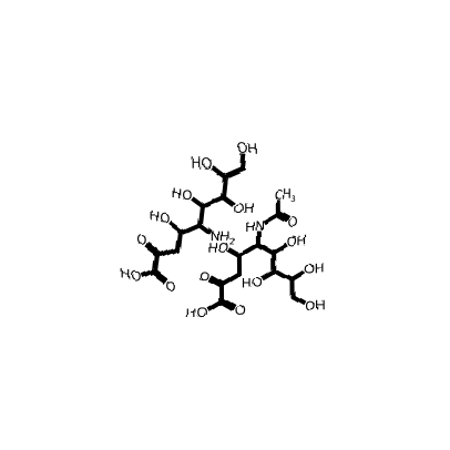 CC(=O)NC(C(O)CC(=O)C(=O)O)C(O)C(O)C(O)CO.NC(C(O)CC(=O)C(=O)O)C(O)C(O)C(O)CO